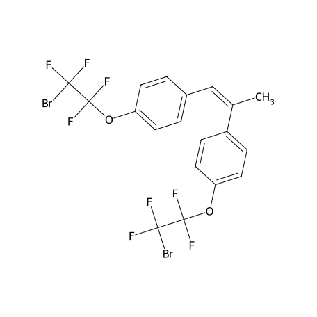 CC(=Cc1ccc(OC(F)(F)C(F)(F)Br)cc1)c1ccc(OC(F)(F)C(F)(F)Br)cc1